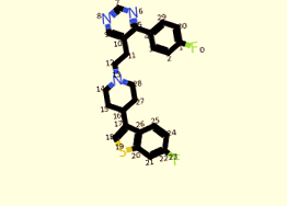 Fc1ccc(-c2ncncc2CCN2CCC(c3csc4cc(F)ccc34)CC2)cc1